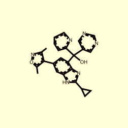 Cc1noc(C)c1-c1cc(C(O)(c2cncnc2)c2ccccn2)c2nc(C3CC3)[nH]c2c1